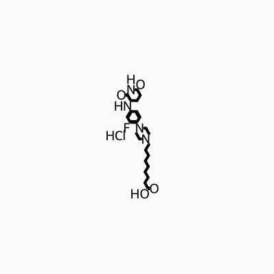 Cl.O=C(O)CCCCCCCCN1CCN(c2ccc(NC3CCC(=O)NC3=O)cc2F)CC1